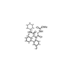 COC(=O)NCC(=O)N(c1ccc(F)cc1)C(C(=O)NC1CCCCC1)c1ccccc1C